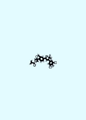 CC(C)C(=O)N1CC2(C1)OCc1cc(C(=O)/C=C(/c3cc(Cl)c(F)c(Cl)c3)C(F)(F)F)ccc12